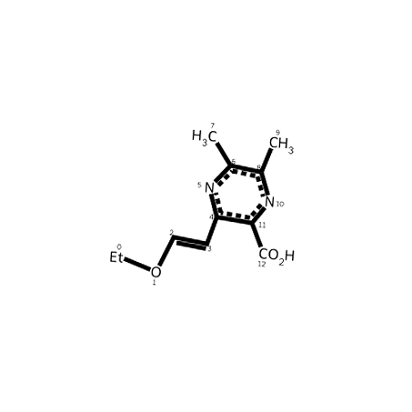 CCOC=Cc1nc(C)c(C)nc1C(=O)O